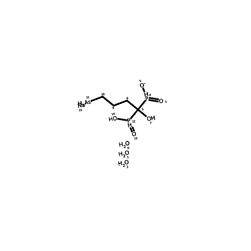 O.O.O.O=[PH]([O-])C(O)(CCC[AsH2])[PH](=O)O.[Na+]